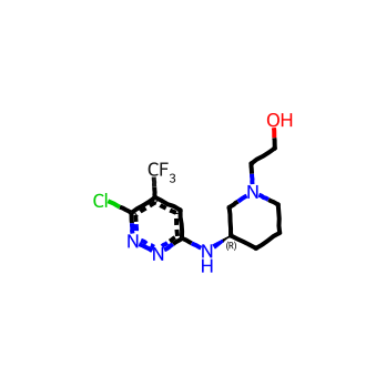 OCCN1CCC[C@@H](Nc2cc(C(F)(F)F)c(Cl)nn2)C1